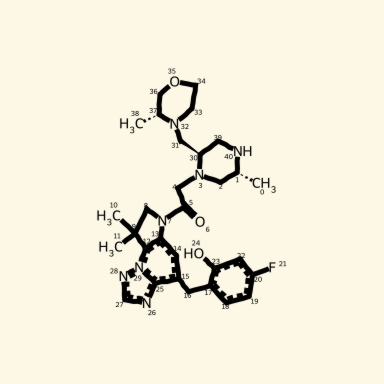 C[C@@H]1CN(CC(=O)N2CC(C)(C)c3c2cc(Cc2ccc(F)cc2O)c2ncnn32)[C@@H](CN2CCOC[C@H]2C)CN1